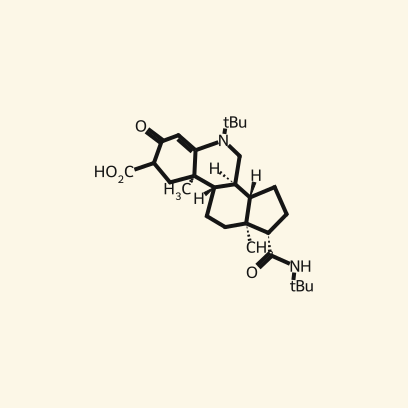 CC(C)(C)NC(=O)[C@H]1CC[C@H]2[C@@H]3CN(C(C)(C)C)C4=CC(=O)C(C(=O)O)C[C@]4(C)[C@H]3CC[C@]12C